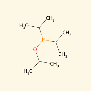 CC(C)OP(C(C)C)C(C)C